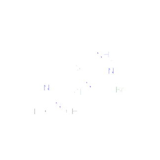 CN(C)c1nccc(Sc2ncc(Br)nc2N)c1Cl